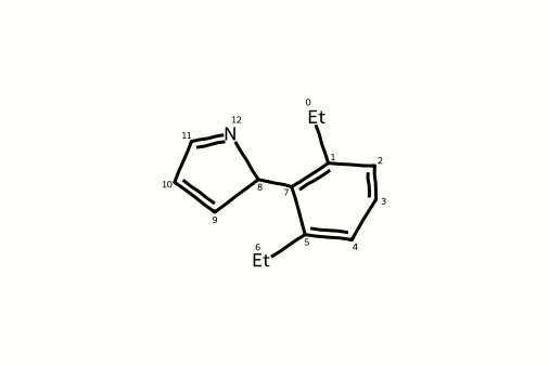 CCc1cccc(CC)c1C1C=CC=N1